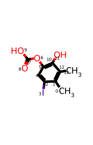 Cc1c(I)cc(OC(=O)O)c(O)c1C